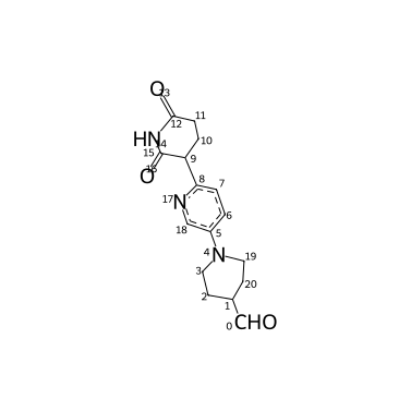 O=CC1CCN(c2ccc(C3CCC(=O)NC3=O)nc2)CC1